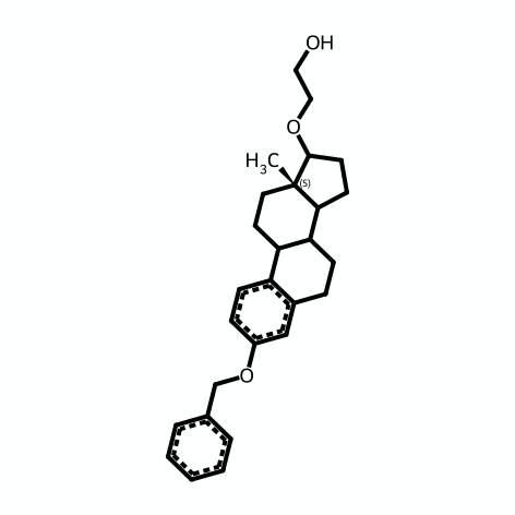 C[C@]12CCC3c4ccc(OCc5ccccc5)cc4CCC3C1CCC2OCCO